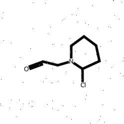 O=CCN1CCCCC1Cl